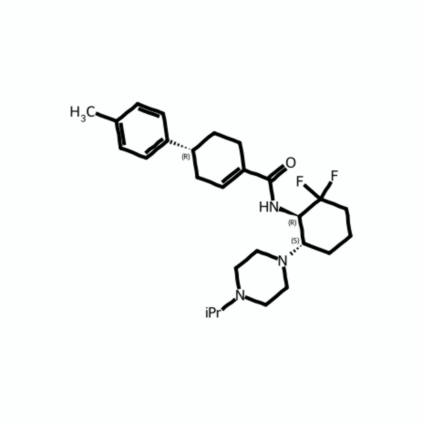 Cc1ccc([C@H]2CC=C(C(=O)N[C@@H]3[C@@H](N4CCN(C(C)C)CC4)CCCC3(F)F)CC2)cc1